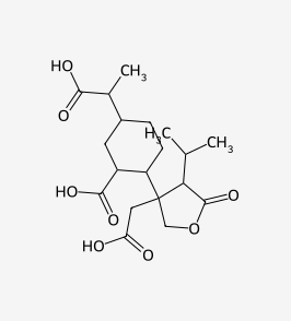 CC(C)C1C(=O)OCC1(CC(=O)O)C1CCC(C(C)C(=O)O)CC1C(=O)O